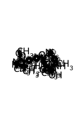 COC(=O)C[C@@H]1N=C(c2ccc(-c3ccc(C(=O)N(C)CC(=O)NC(C(=O)N4C[C@H](O)C[C@H]4C(=O)N[C@@H](C)c4ccc(-c5scnc5C)cc4)C(C)(C)C)cc3)cc2)c2c(sc(C)c2C)-n2c(C)nnc21